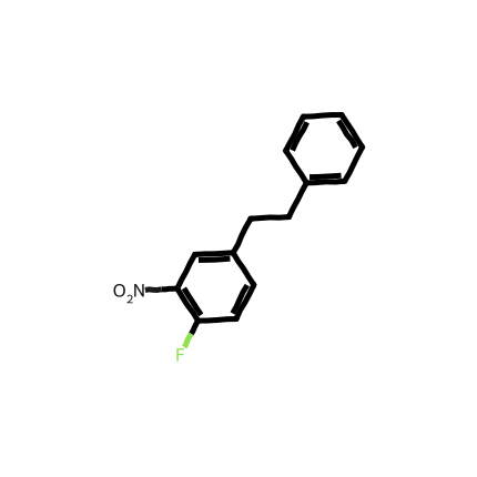 O=[N+]([O-])c1cc(CCc2ccccc2)ccc1F